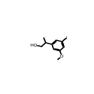 [CH2]C(CO)c1cc(I)cc(OC)c1